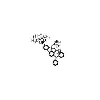 CCCCC(CC)CC1(CC(CC)CCCC)c2cc(B3OC(C)(C)C(C)(C)O3)ccc2-c2ccc(N(c3ccccc3)c3ccccc3)cc21